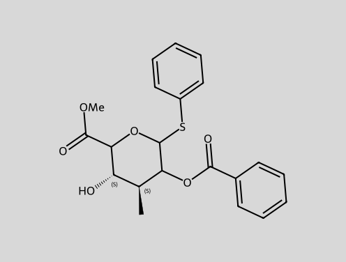 COC(=O)C1OC(Sc2ccccc2)C(OC(=O)c2ccccc2)[C@@H](C)[C@@H]1O